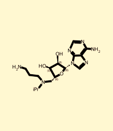 CC(C)N(CCCN)C[C@H]1O[C@@H](n2cnc3c(N)ncnc32)[C@H](O)[C@@H]1O